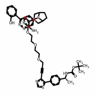 C[C@H](NC(=O)OC(C)(C)C)c1ccc(-c2scnc2C#CCOCCOCCOc2cc(N3C4CCC3CN(c3cc(-c5ccccc5O)nnc3N)C4)ccn2)cc1